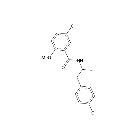 COc1ccc(Cl)cc1C(=O)NC(C)Cc1ccc(O)cc1